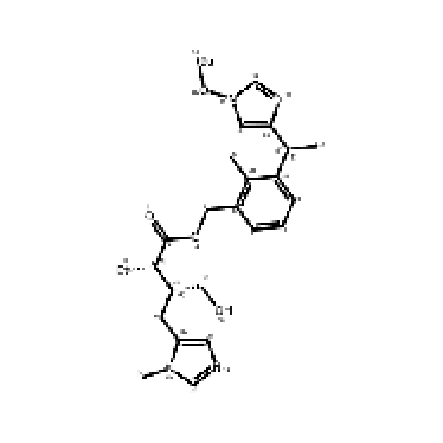 CC[C@H](C(=O)OCc1cccc([C@H](C)c2cn(OC(C)(C)C)cn2)c1C)[C@H](CO)Cc1cncn1C